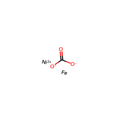 O=C([O-])[O-].[Fe].[Ni+2]